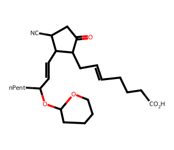 CCCCCC(C=CC1C(C#N)CC(=O)C1CC=CCCCC(=O)O)OC1CCCCO1